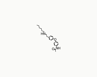 CCCCCCNCCc1ccc(Oc2ccc(NC(C)=O)cc2)cc1